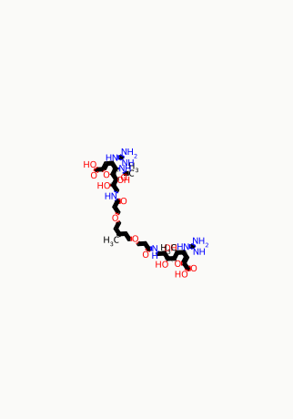 CC(=O)N[C@H]1[C@H]([C@H](O)[C@H](O)CNC(=O)CCOCCC(C)CCOCCC(=O)NC[C@@H](O)[C@@H](O)[C@@H]2OC(C(=O)O)=C[C@H](NC(=N)N)[C@H]2C)OC(C(=O)O)=C[C@@H]1NC(=N)N